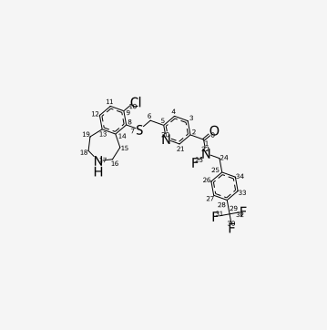 O=C(c1ccc(CSc2c(Cl)ccc3c2CCNCC3)nc1)N(F)Cc1ccc(C(F)(F)F)cc1